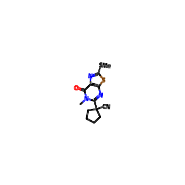 CSc1nc2c(=O)n(C)c(C3(C#N)CCCC3)nc2s1